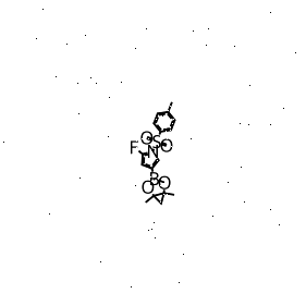 Cc1ccc(S(=O)(=O)n2cc(B3OC4(C)CC4(C)O3)cc2F)cc1